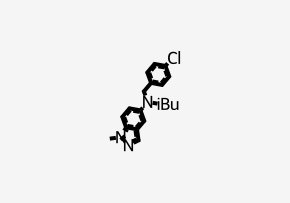 CCC(C)N(Cc1ccc(Cl)cc1)c1ccc2c(cnn2C)c1